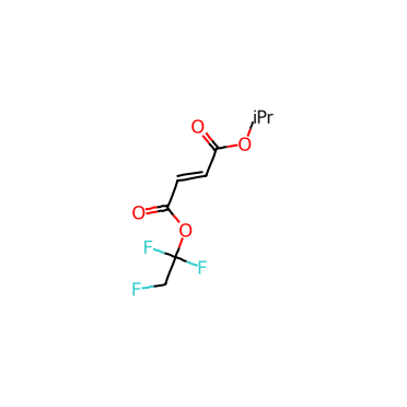 CC(C)OC(=O)/C=C/C(=O)OC(F)(F)CF